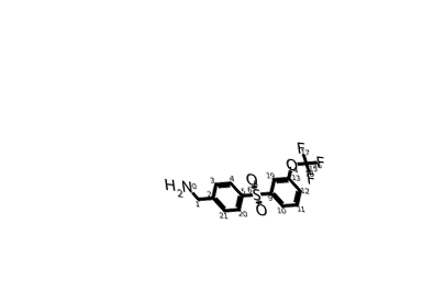 NCc1ccc(S(=O)(=O)c2cccc(OC(F)(F)F)c2)cc1